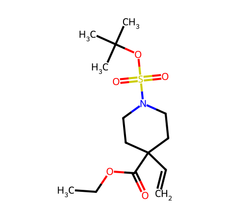 C=CC1(C(=O)OCC)CCN(S(=O)(=O)OC(C)(C)C)CC1